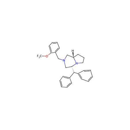 FC(F)(F)Oc1ccccc1CN1C[C@@H]2CCCN2[C@H](C(c2ccccc2)c2ccccc2)C1